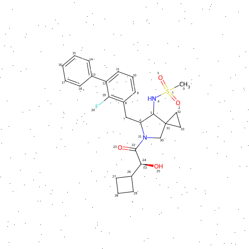 CS(=O)(=O)NC1C(Cc2cccc(-c3ccccc3)c2F)N(C(=O)[C@@H](O)C2CCC2)CC12CC2